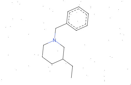 CCC1[CH]CCN(Cc2ccccc2)C1